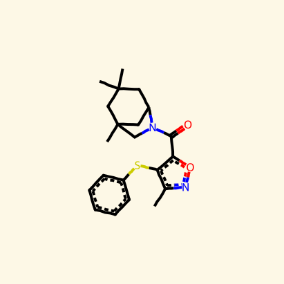 Cc1noc(C(=O)N2CC3(C)CC2CC(C)(C)C3)c1Sc1ccccc1